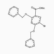 COC(=O)c1cc(Br)c(OCc2ccccc2)cc1OCc1ccccc1